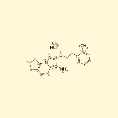 C[n+]1ccccc1CCOc1nn2c3c(ccc2c1N)CCC3.Cl.[Cl-]